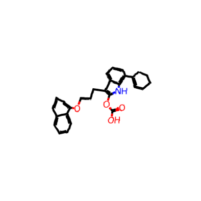 O=C(O)Oc1[nH]c2c(C3=CCCCC3)cccc2c1CCCOc1cccc2ccccc12